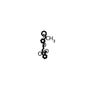 CC(c1cccc(OCCCN2C(=O)c3ccccc3C2=O)c1)N1CCCCCC1